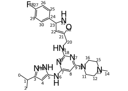 CC(C)c1cc(Nc2cc(N3CCN(C)CC3)nc(NCC3=CC(c4ccc(F)cc4)NO3)n2)[nH]n1